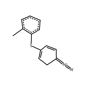 Cc1ccccc1SC1=CCC(=[N+]=[N-])C=C1